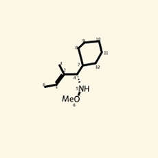 C/C=C(\C)[C@@H](NOC)C1CCCCC1